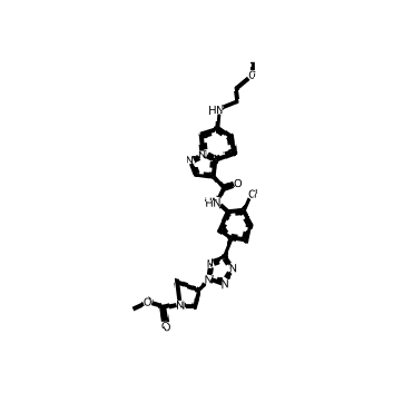 COCCNc1ccc2c(C(=O)Nc3cc(-c4nnn(C5CN(C(=O)OC)C5)n4)ccc3Cl)cnn2c1